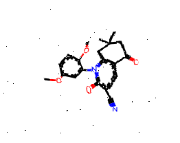 COc1ccc(OC)c(-n2c3c(cc(C#N)c2=O)C(=O)CC(C)(C)C3)c1